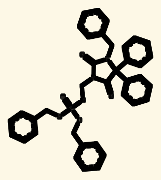 O=C1N(COP(=O)(OCc2ccccc2)OCc2ccccc2)C(=O)C(c2ccccc2)(c2ccccc2)N1Cc1ccccc1